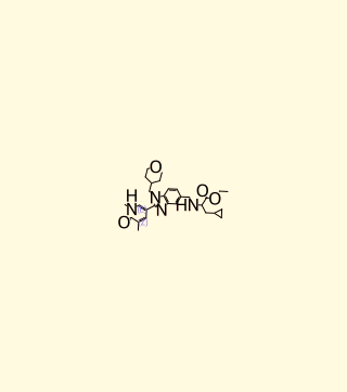 CCOC(=O)C(CC1CC1)NCc1ccc2c(c1)nc(C(/C=C(/C)C=O)=C/NC)n2CC1CCOCC1